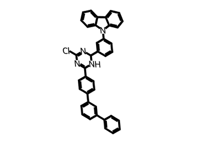 ClC1=NC(c2cccc(-n3c4ccccc4c4ccccc43)c2)NC(c2ccc(-c3cccc(-c4ccccc4)c3)cc2)=N1